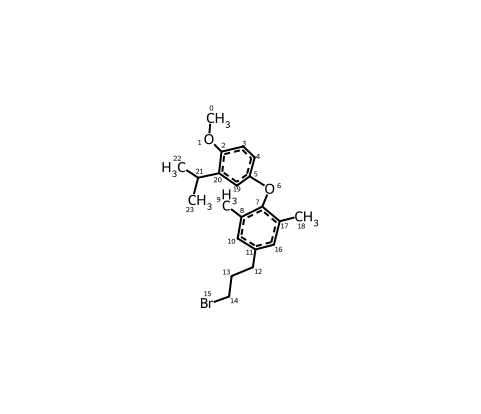 COc1ccc(Oc2c(C)cc(CCCBr)cc2C)cc1C(C)C